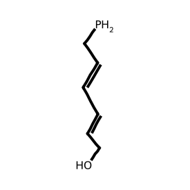 OC/C=C/C=C/CP